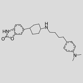 CN(C)c1ccc(CCCCNC2CCC(c3ccc4[nH]c(=O)oc4c3)CC2)cc1